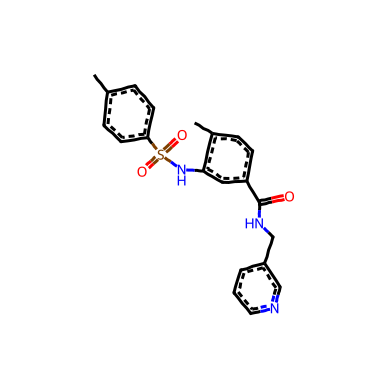 Cc1ccc(S(=O)(=O)Nc2cc(C(=O)NCc3cccnc3)ccc2C)cc1